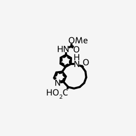 COC(=O)Nc1ccc2c(c1)NC(=O)CCCCCC(C(=O)O)c1cc-2ccn1